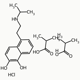 CC(C)C(=O)O.CC(C)C(=O)O.CC(C)NCCc1cccc2c(O)c(O)ccc12.Cl